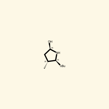 CCCC[C@@H]1N[C@H](O)C[C@H]1C